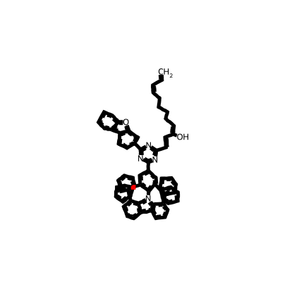 C=C/C=C\CCCC/C=C(O)\C=C\c1nc(-c2cc(-c3ccccc3)c(-n3c4c(-c5ccccc5)cccc4c4cccc(-c5ccccc5)c43)c(-c3ccccc3)c2)nc(-c2ccc3c(c2)oc2ccccc23)n1